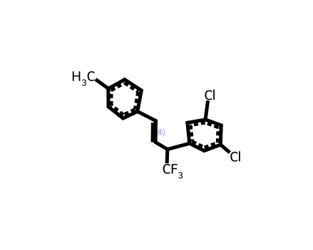 Cc1ccc(/C=C/C(c2cc(Cl)cc(Cl)c2)C(F)(F)F)cc1